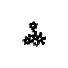 Cn1c2c(c(=O)[nH]c1=O)N(OCc1ccccc1)C(Br)N2Cc1ccccc1